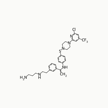 C=C(Nc1ccc(SN2CCN(c3cc(C(F)(F)F)cc(Cl)n3)CC2)cc1)c1cccc(CCNCCCN)c1